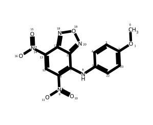 COc1ccc(Nc2c([N+](=O)[O-])cc([N+](=O)[O-])c3nonc23)cc1